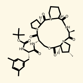 Cc1cc(C)cc(C[C@H](NC(=O)OC(C)(C)C)C(=O)N[C@H]2COC(=O)[C@@H]3C[C@@H](C)CN3C(=O)[C@H](C)NC(=O)[C@@H]3CCCCN3C(=O)[C@@H]3CCCN3C2=O)c1